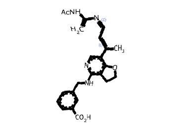 C=C(/N=C\C=C(/C)c1cnc(NCc2cccc(C(=O)O)c2)c2c1OCC2)NC(C)=O